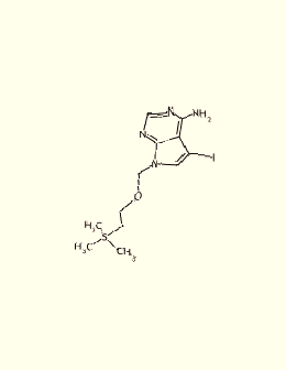 CS(C)(C)CCOCn1cc(I)c2c(N)ncnc21